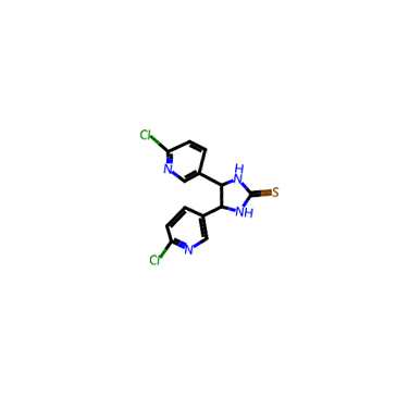 S=C1NC(c2ccc(Cl)nc2)C(c2ccc(Cl)nc2)N1